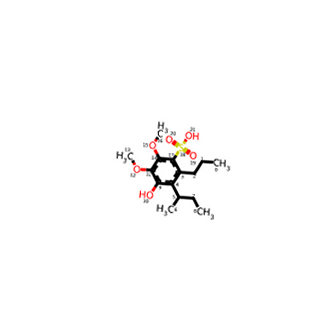 CCCc1c(C(C)CC)c(O)c(OC)c(OC)c1S(=O)(=O)O